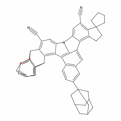 N#Cc1cc2c(c3c1C1c4ccccc4C3c3ccccc31)c1c3ccc(C45CC6CC(CC(C6)C4)C5)cc3cc3c4c5c(c(C#N)cc4n2c31)C1(CCCC1)CC5